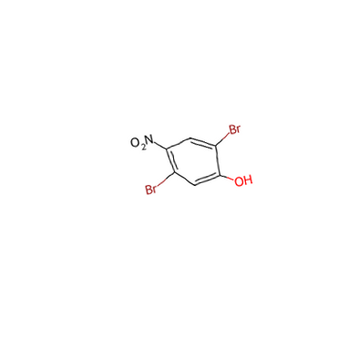 O=[N+]([O-])c1cc(Br)c(O)cc1Br